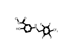 O=C(OCl)c1cc(NCc2c(F)c(F)c(C(F)(F)F)c(F)c2F)ccc1O